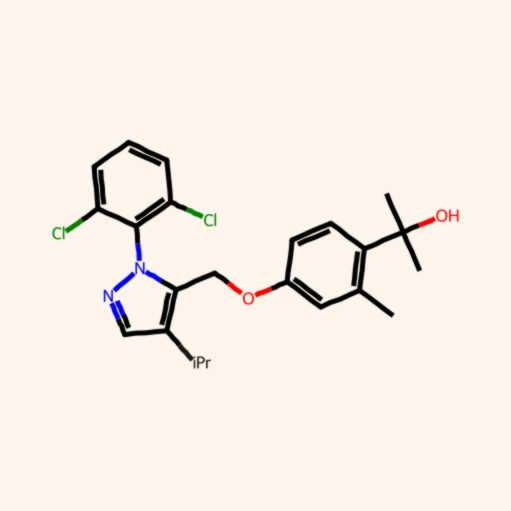 Cc1cc(OCc2c(C(C)C)cnn2-c2c(Cl)cccc2Cl)ccc1C(C)(C)O